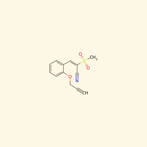 C#CCOc1ccccc1C=C(C#N)S(C)(=O)=O